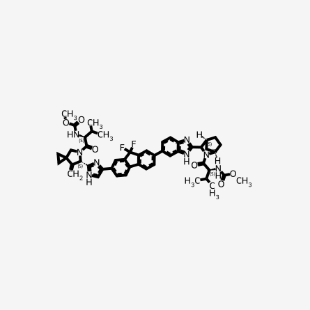 C=C1[C@@H](c2nc(-c3ccc4c(c3)C(F)(F)c3cc(-c5ccc6nc(C7[C@H]8CC[C@H](C8)N7C(=O)[C@@H](NC(=O)OC)C(C)C)[nH]c6c5)ccc3-4)c[nH]2)N(C(=O)[C@@H](NC(=O)OC)C(C)C)CC12CC2